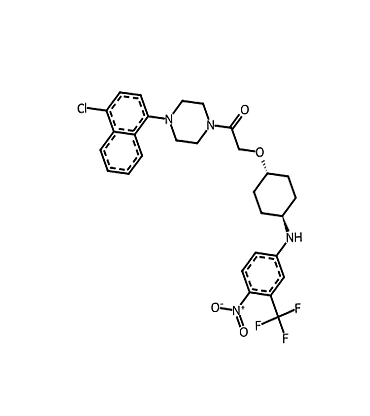 O=C(CO[C@H]1CC[C@H](Nc2ccc([N+](=O)[O-])c(C(F)(F)F)c2)CC1)N1CCN(c2ccc(Cl)c3ccccc23)CC1